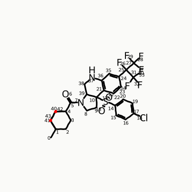 CC12CCC(C(=O)N3CCC4(S(=O)(=O)c5ccc(Cl)cc5)c5ccc(C(F)(C(F)(F)F)C(F)(F)F)cc5NCC34)(CC1)CC2